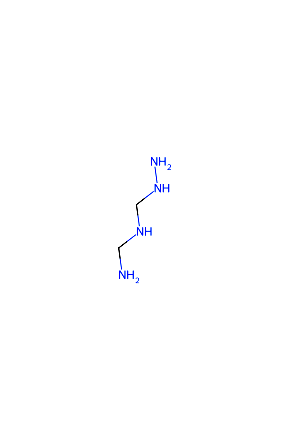 NCNCNN